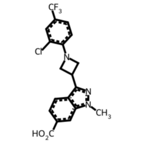 Cn1nc(C2CN(c3ccc(C(F)(F)F)cc3Cl)C2)c2ccc(C(=O)O)cc21